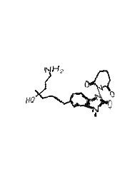 Cn1c(=O)n(N2C(=O)CCCC2=O)c2ccc(CCCC(C)(O)CCCN)cc21